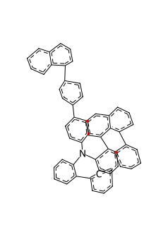 c1ccc(-c2ccccc2N(c2ccc(-c3ccc(-c4cccc5ccccc45)cc3)cc2)c2ccccc2-c2cccc3cccc(-c4ccccc4)c23)cc1